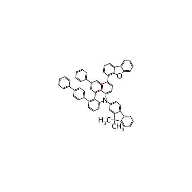 CC1(C)c2ccccc2-c2ccc(N(c3ccc(-c4cccc5c4oc4ccccc45)cc3)c3cccc(-c4ccc(-c5ccccc5)cc4)c3-c3cccc(-c4ccccc4)c3)cc21